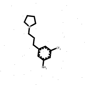 Nc1cc(C[CH]CN2CCCC2)cc(C(F)(F)F)c1